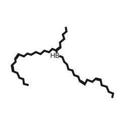 CCCCC/C=C\C/C=C\CCCCCCCC/C(BCCCCCCC/C=C\CC/C=C\CCCCC)=C\CCCCC